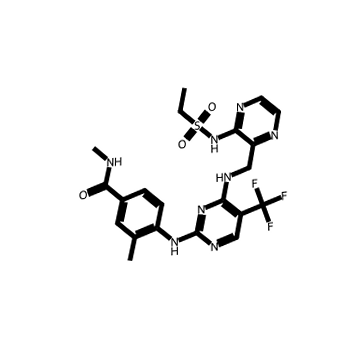 CCS(=O)(=O)Nc1nccnc1CNc1nc(Nc2ccc(C(=O)NC)cc2C)ncc1C(F)(F)F